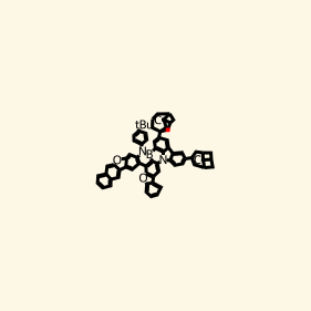 CC(C)(C)c1ccc(N2B3c4c(cc5c(oc6ccccc65)c4-c4cc5c(cc42)oc2cc4ccccc4cc25)-n2c4ccc(C56CC7CC8CC(C5)C87C6)cc4c4cc(C56CC7CC8CC(C5)C8(C7)C6)cc3c42)cc1